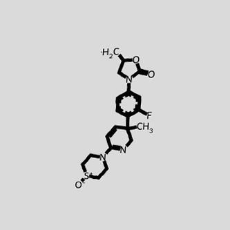 [CH2]C1CN(c2ccc(C3(C)C=CC(N4CC[S+]([O-])CC4)=NC3)c(F)c2)C(=O)O1